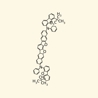 CC(C)(C)c1cccc2c1oc1c(N(C3=CC=CCC3)c3ccc4cc5c(cc4c3)oc3c4c(ccc35)C3C=c5ccc(N(c6ccccc6)c6cccc7c8c(oc67)C(C(C)(C)C)CC=C8)cc5=CC3O4)cccc12